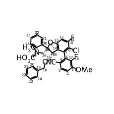 COc1ccc(C#N)c(-c2c(Cl)c(F)cc3c2[C@H](COCc2ccccc2)[C@@](CN(C)C(=O)O)(c2ccccc2)O3)c1F